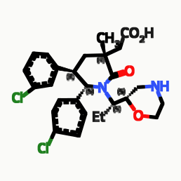 CC[C@@H]([C@@H]1CNCCO1)N1C(=O)[C@@](C)(CC(=O)O)C[C@H](c2cccc(Cl)c2)[C@H]1c1ccc(Cl)cc1